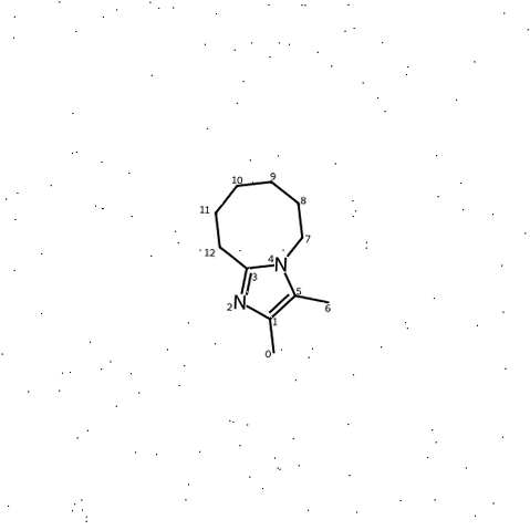 Cc1nc2n(c1C)CCCCCC2